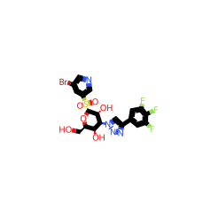 O=S(=O)(c1cncc(Br)c1)[C@H]1O[C@H](CO)[C@H](O)[C@H](n2cc(-c3cc(F)c(F)c(F)c3)nn2)[C@H]1O